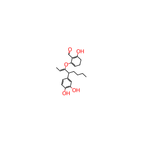 C/C=C(\OC1=CCCC(O)=C1C=O)C(CCCC)c1ccc(O)c(O)c1